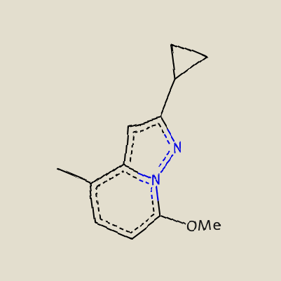 COc1ccc(C)c2cc(C3CC3)nn12